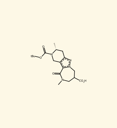 C[C@@H]1Cc2nn3c(c2CN1C(=O)OC(C)(C)C)C(=O)N(C)CC(C(=O)O)C3